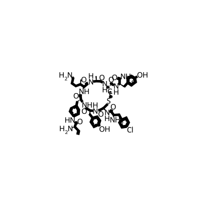 C=C[C@H](N)C(=O)Nc1ccc(C[C@H]2NC(=O)[C@H](Cc3ccc(O)cc3)NC(=O)[C@H](NC(=O)[C@@H](N)Cc3ccc(Cl)cc3)CSSC[C@@H](C(=O)N[C@H](Cc3ccc(O)cc3)C(N)=O)NC(=O)[C@H](C)NC(=O)[C@H]([C@H](C)CCCN)NC2=O)cc1